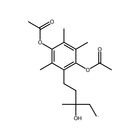 [CH2]CC(C)(O)CCc1c(C)c(OC(C)=O)c(C)c(C)c1OC(C)=O